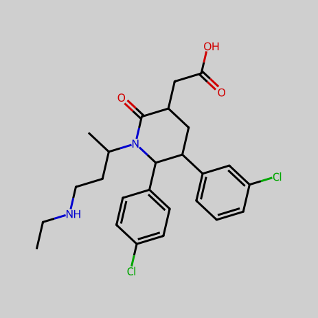 CCNCCC(C)N1C(=O)C(CC(=O)O)CC(c2cccc(Cl)c2)C1c1ccc(Cl)cc1